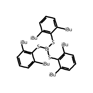 CCC(C)c1cccc(C(C)CC)c1[S][Bi]([S]c1c(C(C)CC)cccc1C(C)CC)[S]c1c(C(C)CC)cccc1C(C)CC